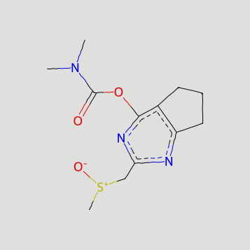 CN(C)C(=O)Oc1nc(C[S+](C)[O-])nc2c1CCC2